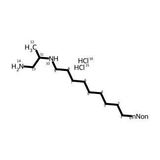 CCCCCCCCCCCCCCCCCCNC(C)CN.Cl.Cl